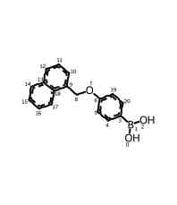 OB(O)c1ccc(OCc2cccc3ccccc23)cc1